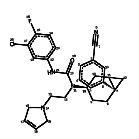 N#Cc1cccc([C@]23CC[C@@H](N(CCN4CC=CC4)C(=O)Nc4ccc(F)c(Cl)c4)CC2C3)c1